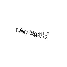 Fc1cccc(-c2nc3cnn(Cc4cc(-c5ccc(OC(F)(F)F)cc5)no4)cc-3n2)c1F